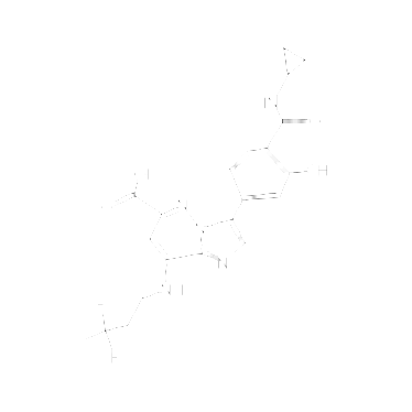 Cc1cc(-c2cnc3c(NCCC(F)(F)F)cc(C(=O)O)nn23)ccc1C(=O)NC1CC1